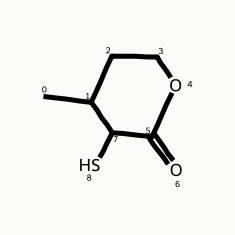 CC1CCOC(=O)C1S